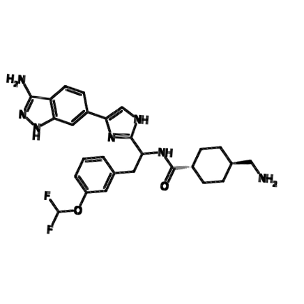 NC[C@H]1CC[C@H](C(=O)NC(Cc2cccc(OC(F)F)c2)c2nc(-c3ccc4c(N)n[nH]c4c3)c[nH]2)CC1